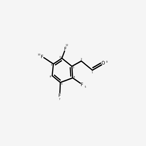 O=CCc1c(F)c(F)cc(F)c1F